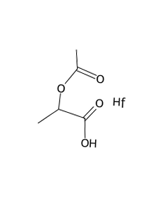 CC(=O)OC(C)C(=O)O.[Hf]